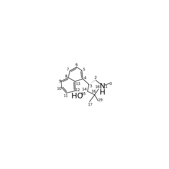 CNC[C@@H](c1cccc2ccccc12)[C@@H](O)C(C)(C)C